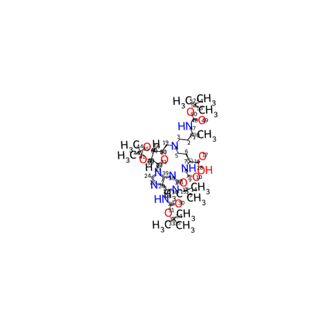 C[C@H](CCN(CC[C@H](NC(=O)OC(C)(C)C)C(=O)O)C[C@H]1O[C@@H](n2cnc3c(NC(=O)OC(C)(C)C)ncnc32)[C@@H]2OC(C)(C)O[C@@H]21)NC(=O)OC(C)(C)C